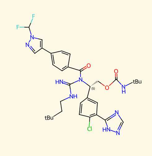 CC(C)(C)CCNC(=N)N(C(=O)c1ccc(-c2cnn(C(F)F)c2)cc1)[C@H](COC(=O)NC(C)(C)C)c1ccc(Cl)c(-c2ncn[nH]2)c1